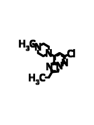 CCc1cn2nc(Cl)cc(N3CCN(C)CC3)c2n1